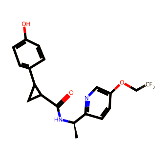 C[C@@H](NC(=O)C1CC1c1ccc(O)cc1)c1ccc(OCC(F)(F)F)cn1